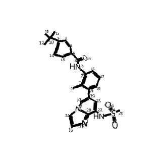 Cc1c(NC(=O)c2ccc(C(C)(C)C)cc2)cccc1-c1cc(NS(C)(=O)=O)c2nccn2c1